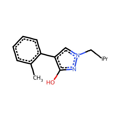 Cc1ccccc1-c1cn(CC(C)C)nc1O